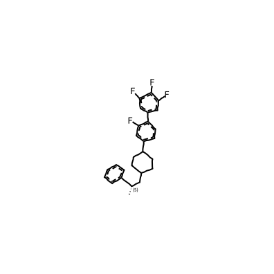 C[C@@H](CC1CCC(c2ccc(-c3cc(F)c(F)c(F)c3)c(F)c2)CC1)c1ccccc1